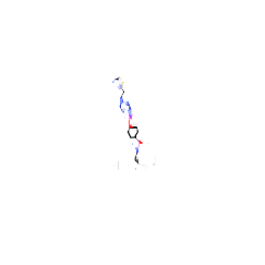 CC(C)(C)CCNC(=O)c1ccc(OC(=O)N2CCN(CCc3nccs3)CC2)cc1